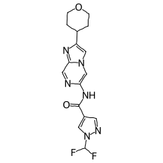 O=C(Nc1cn2cc(C3CCOCC3)nc2cn1)c1cnn(C(F)F)c1